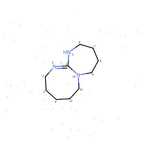 C1CC/N=C2/NCCCCN2CC1